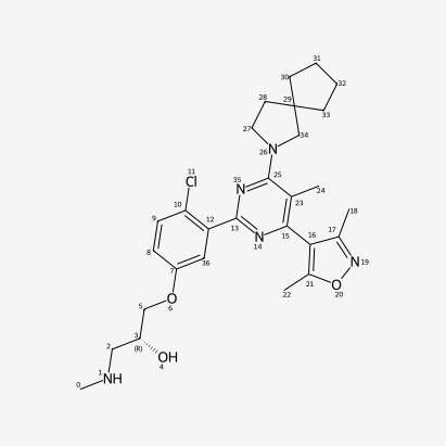 CNC[C@@H](O)COc1ccc(Cl)c(-c2nc(-c3c(C)noc3C)c(C)c(N3CCC4(CCCC4)C3)n2)c1